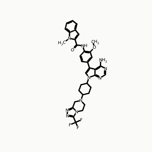 COc1cc(-c2cn(C3CCC(N4CCn5c(nnc5C(F)(F)F)C4)CC3)c3ncnc(N)c23)ccc1NC(=O)c1cc2ccccc2n1C